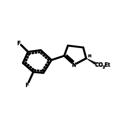 CCOC(=O)[C@H]1CCC(c2cc(F)cc(F)c2)=N1